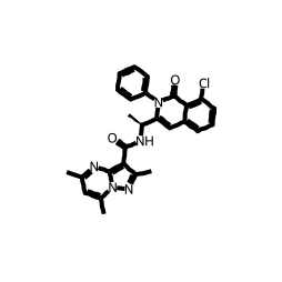 Cc1cc(C)n2nc(C)c(C(=O)N[C@@H](C)c3cc4cccc(Cl)c4c(=O)n3-c3ccccc3)c2n1